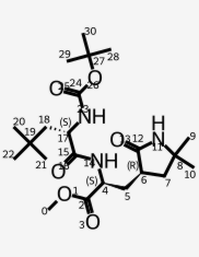 COC(=O)[C@H](C[C@@H]1CC(C)(C)NC1=O)NC(=O)[C@H](CC(C)(C)C)NC(=O)OC(C)(C)C